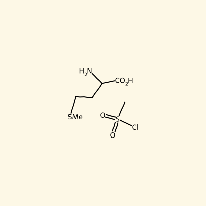 CS(=O)(=O)Cl.CSCCC(N)C(=O)O